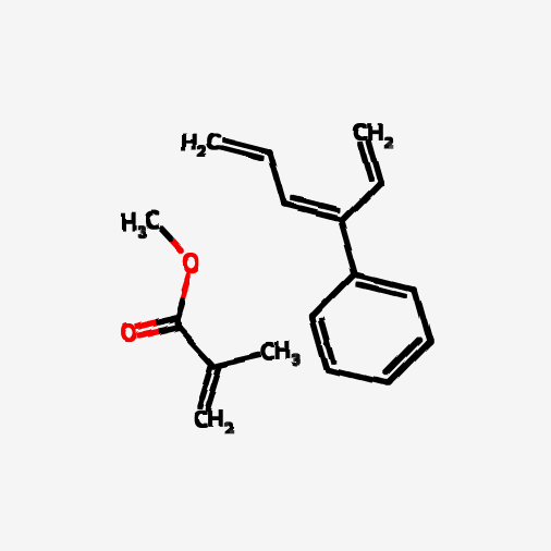 C=C(C)C(=O)OC.C=CC=C(C=C)c1ccccc1